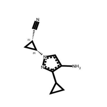 N#C[C@H]1C[C@H]1n1cc(N)c(C2CC2)n1